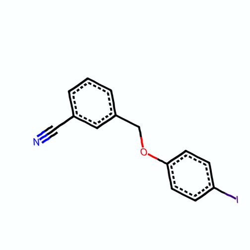 N#Cc1cccc(COc2ccc(I)cc2)c1